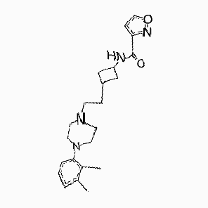 Cc1cccc(N2CCN(CCC3CC(NC(=O)c4ccon4)C3)CC2)c1C